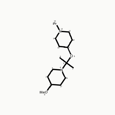 COC1CCN(C(C)(C)OC2CCN(C(C)C)CC2)CC1